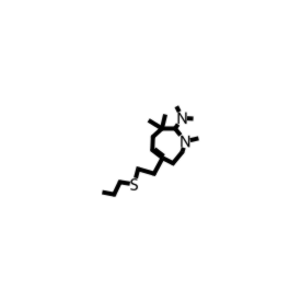 CCCSCCC1=CCC(C)(C)C(N(C)C)N(C)CC1